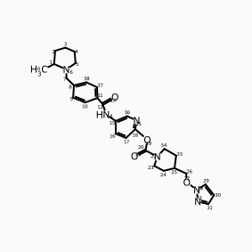 CC1CCCCN1Cc1ccc(C(=O)Nc2ccc(OC(=O)N3CCC(COn4cccn4)CC3)nc2)cc1